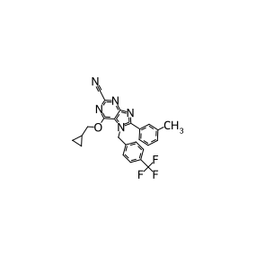 Cc1cccc(-c2nc3nc(C#N)nc(OCC4CC4)c3n2Cc2ccc(C(F)(F)F)cc2)c1